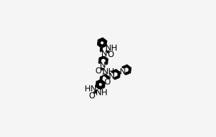 O=C(N[C@H](Cc1ccc2[nH]c(=O)[nH]c2c1)C(=O)N1CCC(N2CCCCC2)CC1)N1CCC(N2Cc3ccccc3NC2=O)CC1